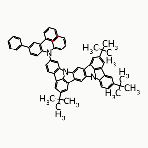 CC(C)(C)c1ccc2c(c1)c1cc(C(C)(C)C)cc3c4cc5c(cc4n2c13)c1cc(C(C)(C)C)cc2c3ccc(N(c4ccccc4)c4ccc(-c6ccccc6)cc4-c4ccccc4)cc3n5c21